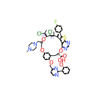 C=C1/C(C)=C(Cl)\C(=C(/C)Cl)O[C@H](CN2CCN(C)CC2)COc2ccc(OCc3ccnc(-c4ccccc4OC)n3)c(c2)C[C@@H](C(=O)O)Oc2ncnc3sc(-c4ccc(F)cc4)c1c23